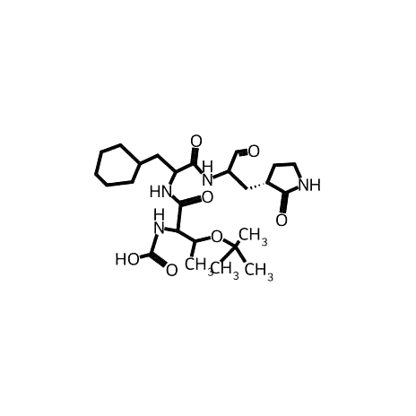 CC(OC(C)(C)C)C(NC(=O)O)C(=O)NC(CC1CCCCC1)C(=O)NC(C=O)C[C@@H]1CCNC1=O